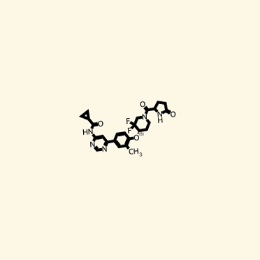 Cc1cc(-c2cc(NC(=O)C3CC3)ncn2)ccc1O[C@H]1CCN(C(=O)C2CCC(=O)N2)CC1(F)F